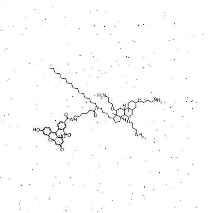 CCCCCCCCCCCCCCCCN(CCC[C@@H](C)C1CC[C@H]2C3[C@H](OCCCN)CC4CC(OCCCN)CCC4(C)[C@H]3C[C@H](OCCCN)C12C)C(=O)CCCCCNC(=O)c1ccc(-c2c3ccc(=O)cc-3oc3cc(O)ccc23)c(C(=O)O)c1